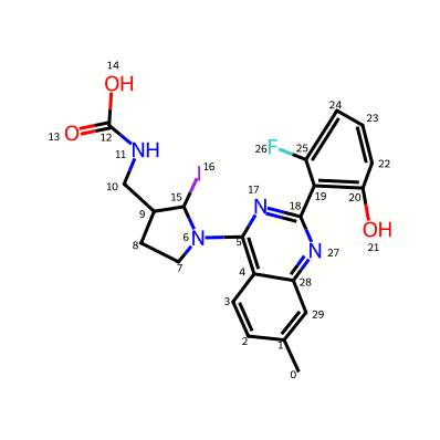 Cc1ccc2c(N3CCC(CNC(=O)O)C3I)nc(-c3c(O)cccc3F)nc2c1